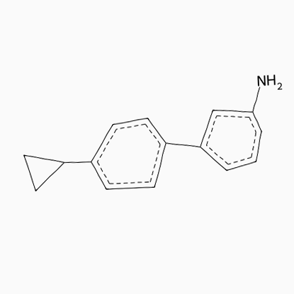 Nc1cccc(-c2ccc(C3CC3)cc2)c1